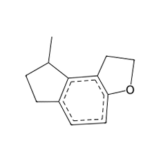 CC1CCc2ccc3c(c21)CCO3